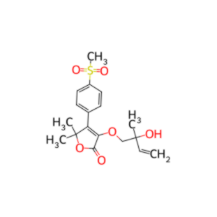 C=CC(C)(O)COC1=C(c2ccc(S(C)(=O)=O)cc2)C(C)(C)OC1=O